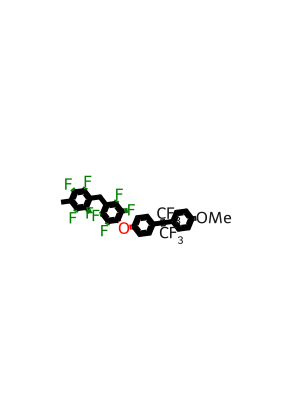 COc1ccc(C(c2ccc(Oc3c(F)c(F)c(Cc4c(F)c(F)c(C)c(F)c4F)c(F)c3F)cc2)(C(F)(F)F)C(F)(F)F)cc1